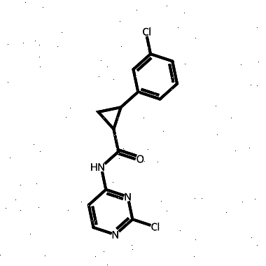 O=C(Nc1ccnc(Cl)n1)C1CC1c1cccc(Cl)c1